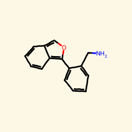 NCc1ccccc1-c1occ2ccccc12